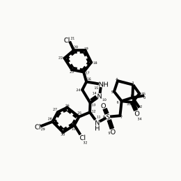 CC1(C)C2CCC1(CS(=O)(=O)NC(C1=NNC(c3ccc(Cl)cc3)C1)c1ccc(Cl)cc1Cl)C(=O)C2